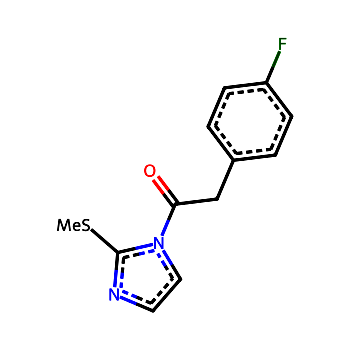 CSc1nccn1C(=O)Cc1ccc(F)cc1